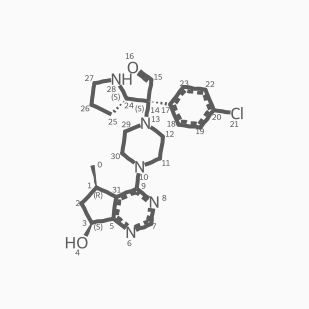 C[C@@H]1C[C@H](O)c2ncnc(N3CCN([C@@](C=O)(c4ccc(Cl)cc4)[C@@H]4CCCN4)CC3)c21